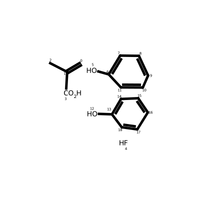 C=C(C)C(=O)O.F.Oc1ccccc1.Oc1ccccc1